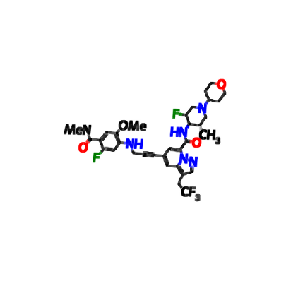 CNC(=O)c1cc(OC)c(NCC#Cc2cc(C(=O)N[C@@H]3[C@@H](C)CN(C4CCOCC4)C[C@@H]3F)n3ncc(CC(F)(F)F)c3c2)cc1F